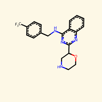 FC(F)(F)c1ccc(CNc2nc(C3CNCCO3)nc3ccccc23)cc1